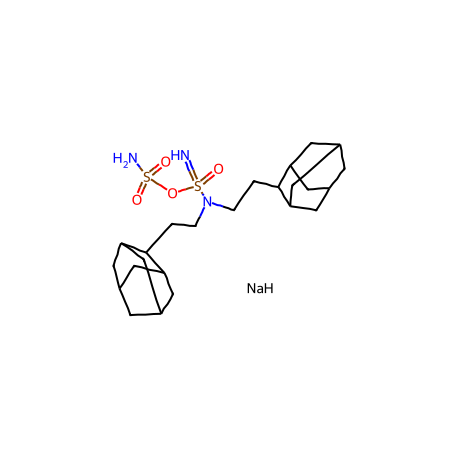 N=S(=O)(OS(N)(=O)=O)N(CCC1C2CC3CC(C2)CC1C3)CCC1C2CC3CC(C2)CC1C3.[NaH]